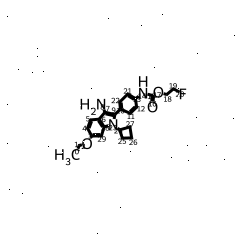 CCOc1ccc2c(N)c(-c3ccc(NC(=O)OCCF)cc3)n(C3CCC3)c2c1